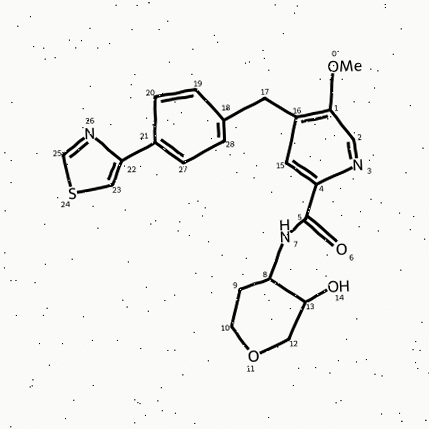 COc1cnc(C(=O)NC2CCOCC2O)cc1Cc1ccc(-c2cscn2)cc1